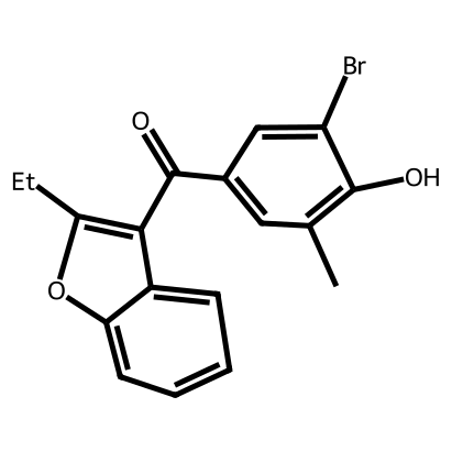 CCc1oc2ccccc2c1C(=O)c1cc(C)c(O)c(Br)c1